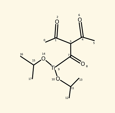 CC(=O)C(C(C)=O)[C](=O)[Ti]([O]C(C)C)[O]C(C)C